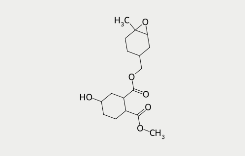 COC(=O)C1CCC(O)CC1C(=O)OCC1CCC2(C)OC2C1